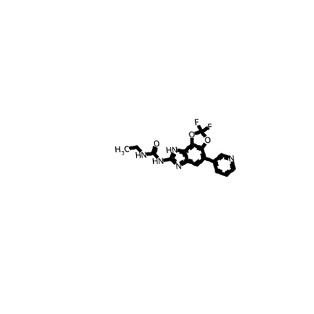 CCNC(=O)Nc1nc2cc(-c3cccnc3)c3c(c2[nH]1)OC(F)(F)O3